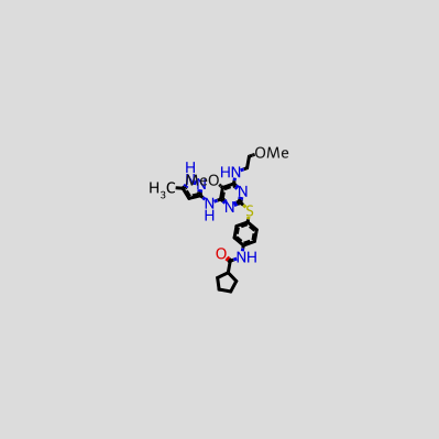 COCCNc1nc(Sc2ccc(NC(=O)C3CCCC3)cc2)nc(Nc2cc(C)[nH]n2)c1OC